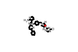 Nc1ncccc1-c1nc2ccc(-c3ccccc3)nc2n1-c1ccc(CN2C[C@@H]3C[C@H]2CN3c2ncnc(Cl)n2)cc1